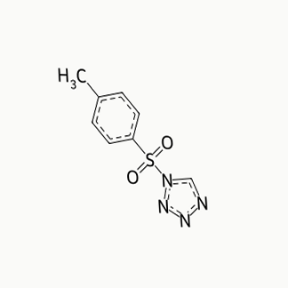 Cc1ccc(S(=O)(=O)n2cnnn2)cc1